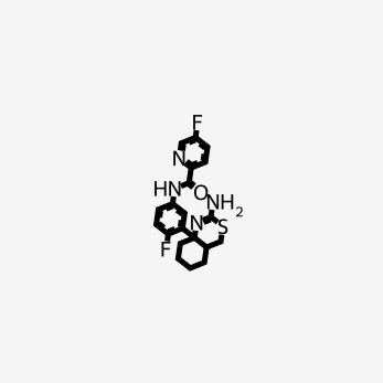 NC1=NC2(c3cc(NC(=O)c4ccc(F)cn4)ccc3F)CCCCC2CS1